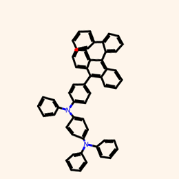 c1ccc(-c2ccccc2-c2c3ccccc3c(-c3ccc(N(c4ccccc4)c4ccc(N(c5ccccc5)c5ccccc5)cc4)cc3)c3ccccc23)cc1